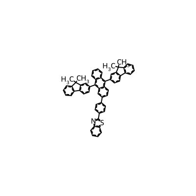 CC1(C)c2ccccc2-c2ccc(-c3c4ccccc4c(-c4ccc5c(c4)C(C)(C)c4ccccc4-5)c4cc(-c5ccc(-c6nc7ccccc7s6)cc5)ccc34)cc21